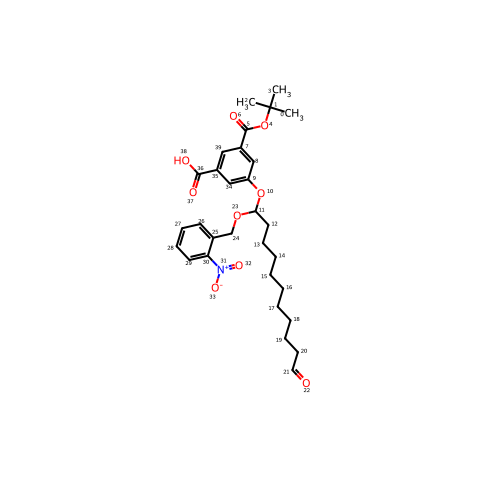 CC(C)(C)OC(=O)c1cc(OC(CCCCCCCCCC=O)OCc2ccccc2[N+](=O)[O-])cc(C(=O)O)c1